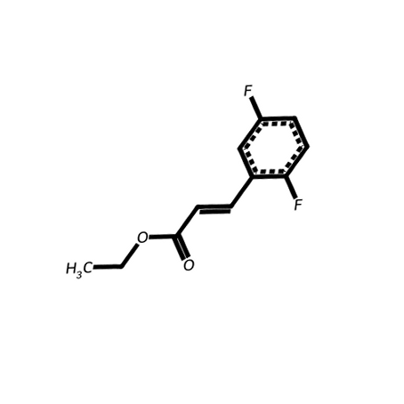 CCOC(=O)C=Cc1cc(F)ccc1F